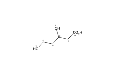 O=C(O)CC(O)CCO